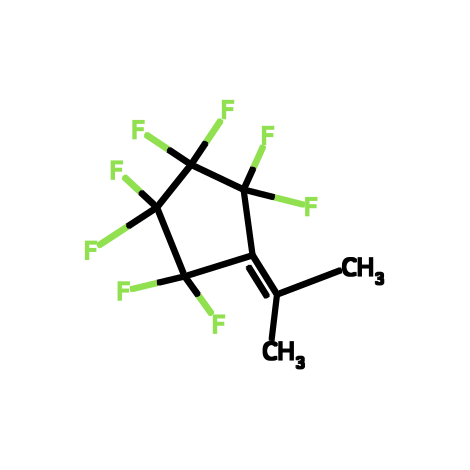 CC(C)=C1C(F)(F)C(F)(F)C(F)(F)C1(F)F